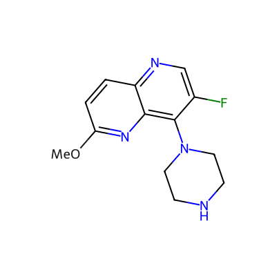 COc1ccc2ncc(F)c(N3CCNCC3)c2n1